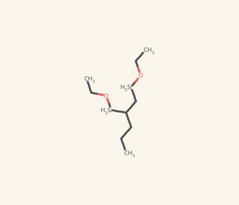 CCCC(C[SiH2]OCC)[SiH2]OCC